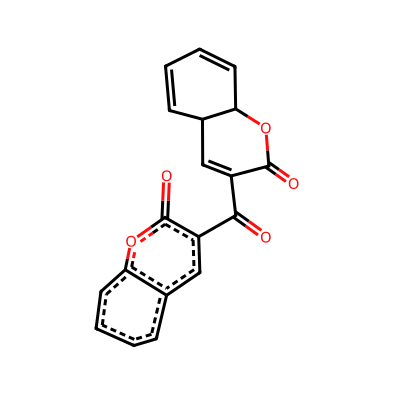 O=C1OC2C=CC=CC2C=C1C(=O)c1cc2ccccc2oc1=O